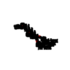 CCCCCCOCC(COCCCCCC)OC(=O)CCCCCCCN(CCCCCCCC(=O)OC(COCCCCCC)COCCCCCC)Cc1cn(CCC(=O)NCCCNCCCNC(=O)OC(C)(C)C)nn1